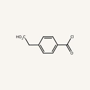 O=C(O)Cc1ccc(C(=O)Cl)cc1